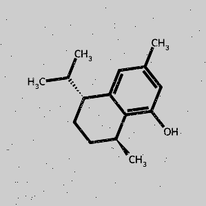 Cc1cc(O)c2c(c1)[C@@H](C(C)C)CC[C@@H]2C